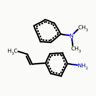 CC=Cc1ccc(N)cc1.CN(C)c1ccccc1